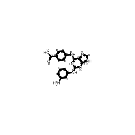 Nc1cccc(Nc2nc(Nc3ccc(C(=O)O)cc3)c3nc[nH]c3n2)c1